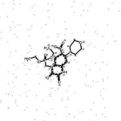 CCOP(=O)(Cn1c(=O)c(=O)[nH]c2cc(N3CCOCC3)c([N+](=O)[O-])cc21)OCC